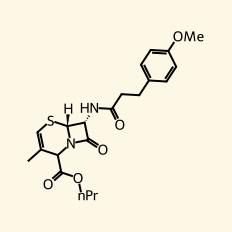 CCCOC(=O)C1C(C)=CS[C@@H]2[C@H](NC(=O)CCc3ccc(OC)cc3)C(=O)N12